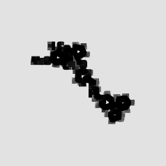 COc1cc(C)c(S(=O)(=O)N2CCC[C@H]2COc2ccnc(CNCCN3CCC(c4ccccc4)(N4CCCC4)CC3)n2)c(C)c1